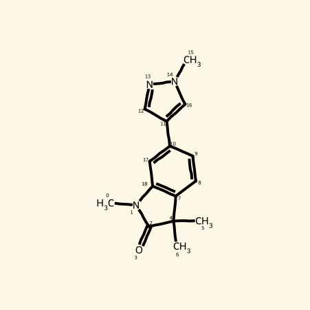 CN1C(=O)C(C)(C)c2ccc(-c3cnn(C)c3)cc21